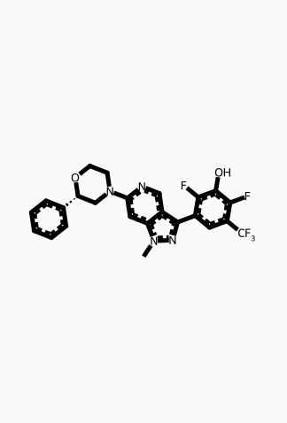 Cn1nc(-c2cc(C(F)(F)F)c(F)c(O)c2F)c2cnc(N3CCO[C@@H](c4ccccc4)C3)cc21